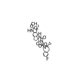 COC(=O)Nc1cc2c(cc1F)C1(CC2)NC(=O)N(CC(=O)N2Cc3ccc(F)cc3CC[C@]2(O)C2CC2)C1=O